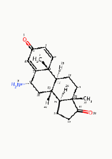 C[C@]12C=CC(=O)C=C1[C@@H](N)C[C@@H]1[C@@H]2CC[C@]2(C)C(=O)CC[C@@H]12